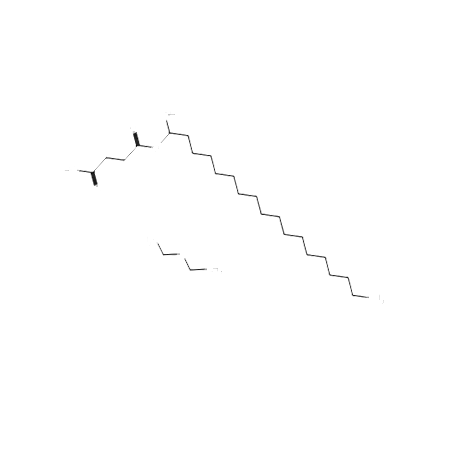 CCCCCCCCCCCCCCCCCC(O)OC(=O)CCC(=O)O.CCOCC